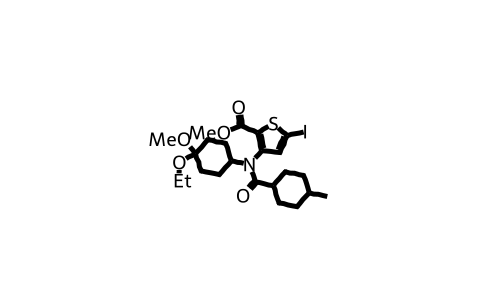 CCOC1(OC)CCC(N(C(=O)C2CCC(C)CC2)c2cc(I)sc2C(=O)OC)CC1